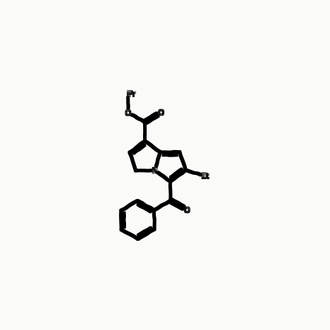 CCc1cc2n(c1C(=O)c1ccccc1)CC=C2C(=O)OC(C)C